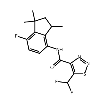 CC1CC(C)(C)c2c(F)ccc(NC(=O)c3nnsc3C(F)F)c21